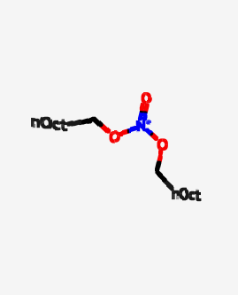 CCCCCCCCCO[N+](=O)OCCCCCCCCC